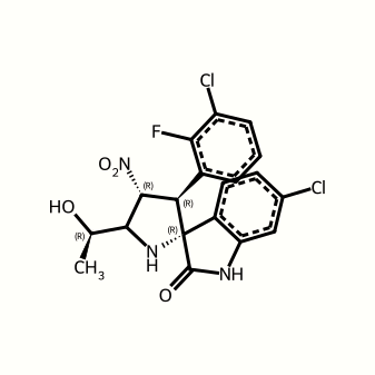 C[C@@H](O)C1N[C@]2(C(=O)Nc3cc(Cl)ccc32)[C@H](c2cccc(Cl)c2F)[C@H]1[N+](=O)[O-]